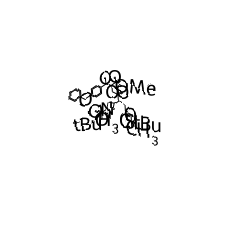 COC(=O)C(OC(=O)C(CCO[Si](C)(C)C(C)(C)C)C1CN(C(=O)OC(C)(C)C)C1)C(=O)c1ccc(Oc2ccccc2)cc1